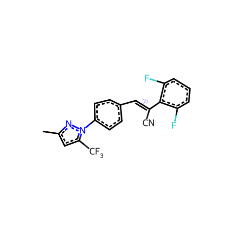 Cc1cc(C(F)(F)F)n(-c2ccc(/C=C(\C#N)c3c(F)cccc3F)cc2)n1